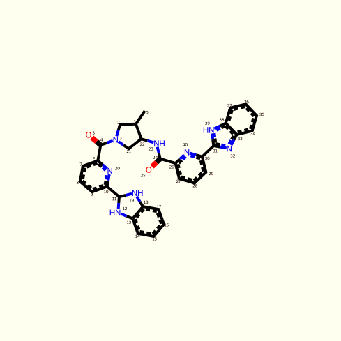 CC1CN(C(=O)c2cccc(C3Nc4ccccc4N3)n2)CC1NC(=O)c1cccc(-c2nc3ccccc3[nH]2)n1